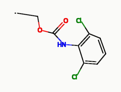 [CH2]COC(=O)Nc1c(Cl)cccc1Cl